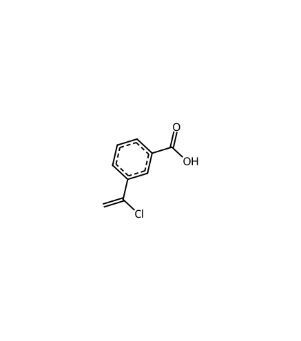 C=C(Cl)c1cccc(C(=O)O)c1